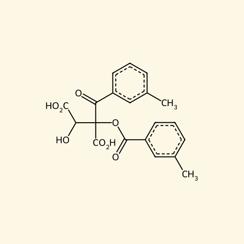 Cc1cccc(C(=O)OC(C(=O)O)(C(=O)c2cccc(C)c2)C(O)C(=O)O)c1